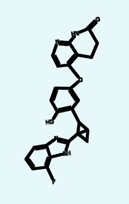 O=C1CCc2c(Oc3ccc(O)c(C4C5CC54c4nc5cccc(F)c5[nH]4)c3)ccnc2N1